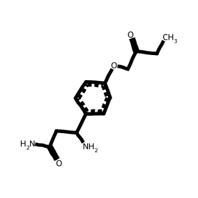 CCC(=O)COc1ccc(C(N)CC(N)=O)cc1